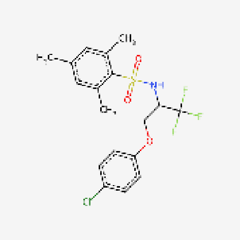 Cc1cc(C)c(S(=O)(=O)NC(COc2ccc(Cl)cc2)C(F)(F)F)c(C)c1